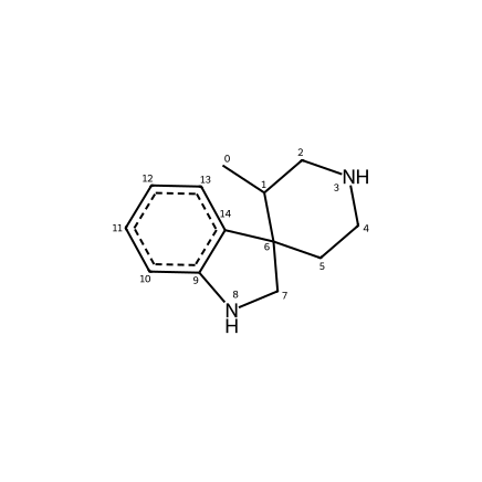 CC1CNCCC12CNc1ccccc12